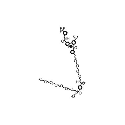 CCN(CC)c1ccc(NC(=O)c2cccc(CCCOCCOCCOCCOCCN[S+]([O-])c3ccc(C(=O)N(CCOC)CCOCCOCCOCCOCCOCCOCCOC)cc3)c2)c(-c2cc(C(=O)NCc3cccc(C(F)(F)F)c3)ccn2)c1